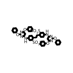 O=S(=O)(O)c1cc(Nc2cc(Oc3ccccc3)nc(Oc3ccccc3)n2)ccc1C=Cc1ccc(Nc2cc(Oc3ccccc3)nc(Oc3ccccc3)n2)cc1S(=O)(=O)O